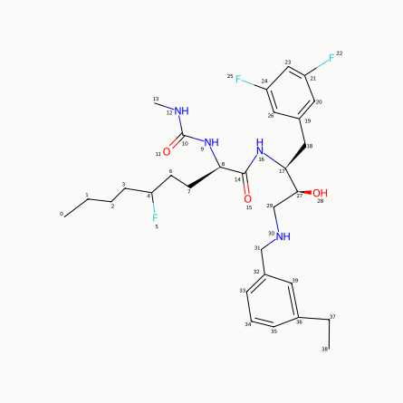 CCCCC(F)CC[C@@H](NC(=O)NC)C(=O)N[C@@H](Cc1cc(F)cc(F)c1)[C@@H](O)CNCc1cccc(CC)c1